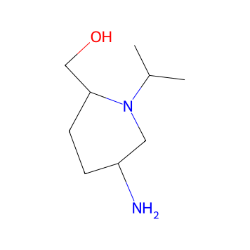 CC(C)N1CC(N)CCC1CO